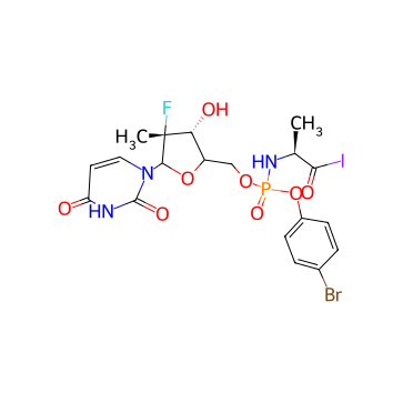 C[C@H](NP(=O)(OCC1OC(n2ccc(=O)[nH]c2=O)[C@](C)(F)[C@@H]1O)Oc1ccc(Br)cc1)C(=O)I